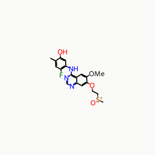 COc1cc2c(Nc3cc(O)c(C)cc3F)ncnc2cc1OCC[S+](C)[O-]